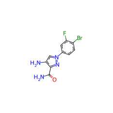 NC(=O)c1nn(-c2ccc(Br)c(F)c2)cc1N